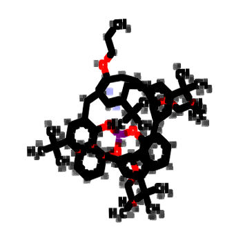 CCCO/C1=C(/C=C(\CC)C(C)(C)C)Cc2cc(C(C)(C)C)cc(c2OP(Oc2ccccc2)Oc2ccccc2)Cc2cc(C(C)(C)C)cc(c2OCCC)Cc2cc(C(C)(C)C)cc(c2OCCC)CC1